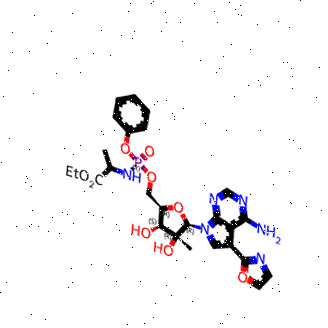 CCOC(=O)C(C)N[P@@](=O)(OC[C@H]1O[C@@H](n2cc(-c3ncco3)c3c(N)ncnc32)[C@](C)(O)[C@H]1O)Oc1ccccc1